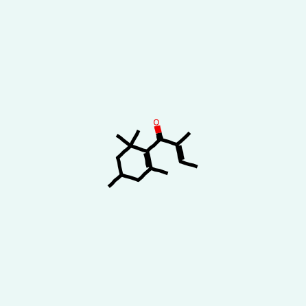 CC=C(C)C(=O)C1=C(C)CC(C)CC1(C)C